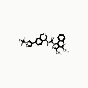 Cc1nc2ccccc2c2c1c(C)nn2C(=O)N[C@@H]1COCc2cc(-c3cnn(C(F)(F)F)c3)ccc21